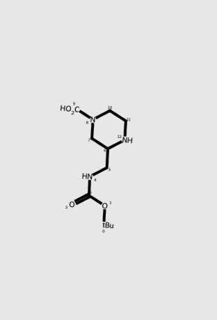 CC(C)(C)OC(=O)NCC1CN(C(=O)O)CCN1